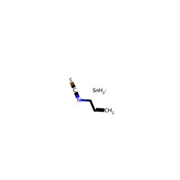 C=CCN=C=S.[SnH2]